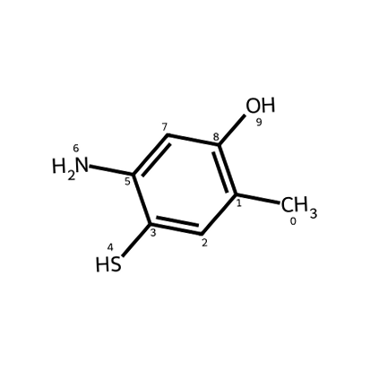 Cc1cc(S)c(N)cc1O